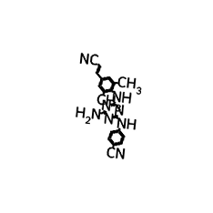 Cc1cc(C=CC#N)cc(C)c1Nc1nc(N)nc(Nc2ccc(C#N)cc2)n1